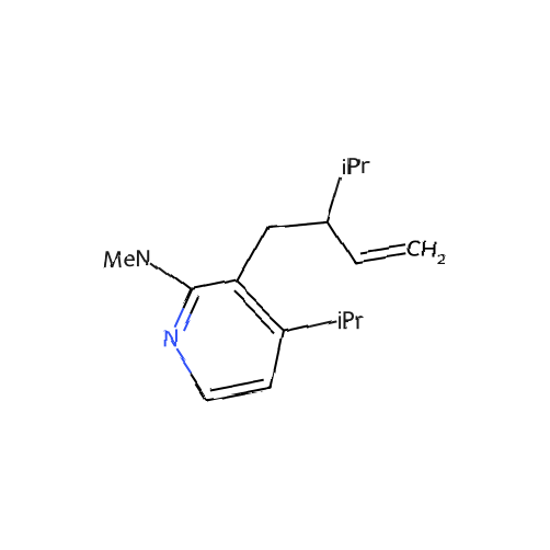 C=CC(Cc1c(C(C)C)ccnc1NC)C(C)C